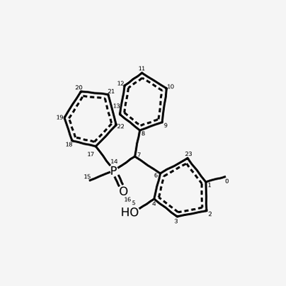 Cc1ccc(O)c(C(c2ccccc2)P(C)(=O)c2ccccc2)c1